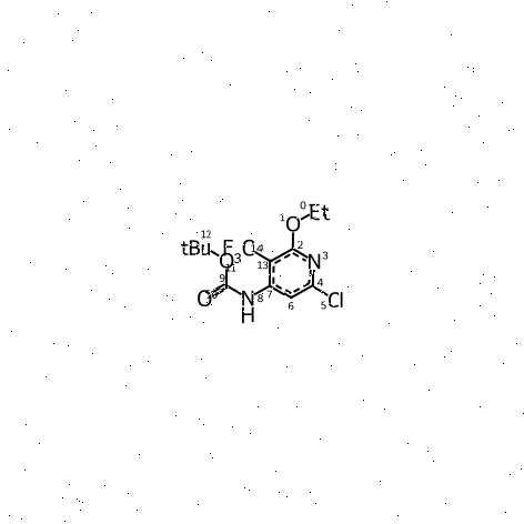 CCOc1nc(Cl)cc(NC(=O)OC(C)(C)C)c1C(F)(F)F